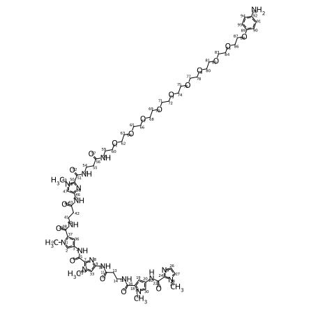 Cn1cc(NC(=O)c2nc(NC(=O)CCNC(=O)c3cc(NC(=O)c4nccn4C)cn3C)cn2C)cc1C(=O)NCCC(=O)Nc1cn(C)c(C(=O)NCCC(=O)NCCOCCOCCOCCOCCOCCOCCOCCOCCOCCOc2ccc(N)cc2)n1